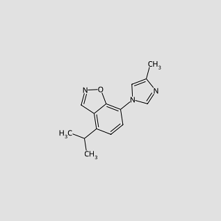 Cc1cn(-c2ccc(C(C)C)c3cnoc23)cn1